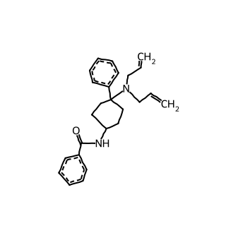 C=CCN(CC=C)C1(c2ccccc2)CCC(NC(=O)c2ccccc2)CC1